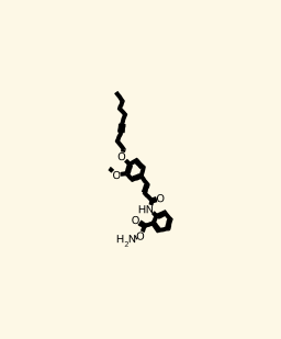 CCCCC#CCCOc1ccc(/C=C/C(=O)Nc2ccccc2C(=O)ON)cc1OC